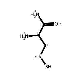 NC(=O)[C@H](N)CSS